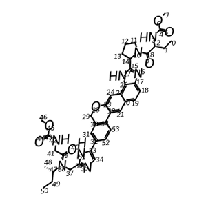 CC[C@H](NC(=O)OC)C(=O)N1CCCC1c1nc2ccc3cc4c(cc3c2[nH]1)OCc1cc(-c2cnc(CN(C(=O)CNC(=O)OC)[C@@H](C)CC)[nH]2)ccc1-4